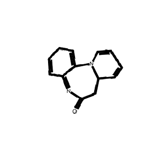 O=C1CC2C=CC=CN2C2=CCC=CC2=N1